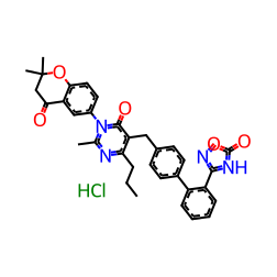 CCCc1nc(C)n(-c2ccc3c(c2)C(=O)CC(C)(C)O3)c(=O)c1Cc1ccc(-c2ccccc2-c2noc(=O)[nH]2)cc1.Cl